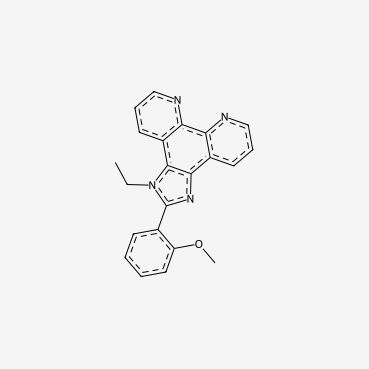 CCn1c(-c2ccccc2OC)nc2c3cccnc3c3ncccc3c21